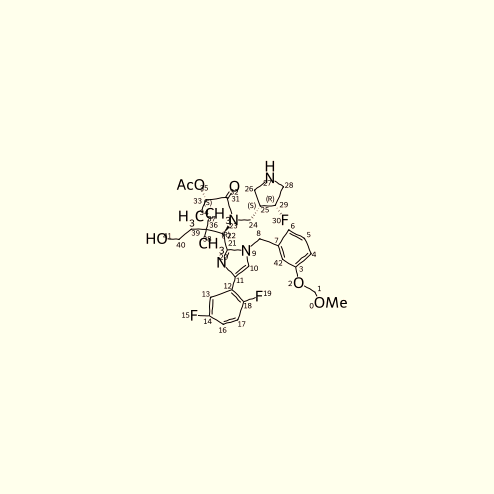 COCOc1cccc(Cn2cc(-c3cc(F)ccc3F)nc2[C@H](N(C[C@@H]2CNC[C@@H]2F)C(=O)[C@H](C)OC(C)=O)C(C)(C)CCO)c1